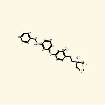 CC[C@](N)(CO)CCc1ccc(Sc2cccc(OCc3ccccc3)c2)cc1Cl